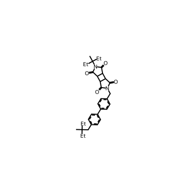 CCC(C)(CC)Cc1ccc(-c2ccc(CN3C(=O)C4C(C3=O)C3C(=O)N(C(C)(CC)CC)C(=O)C43)cc2)cc1